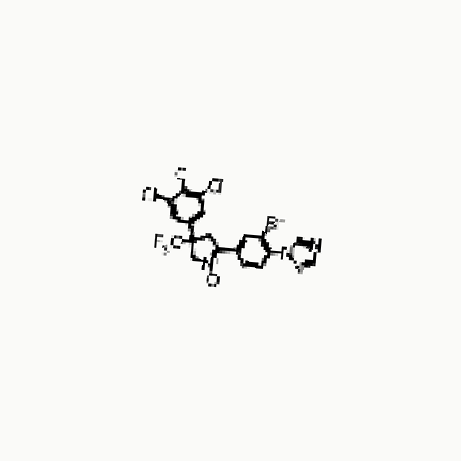 [O-][N+]1=C(c2ccc(-n3cncn3)c(Br)c2)CC(c2cc(Cl)c(Cl)c(Cl)c2)(C(F)(F)F)C1